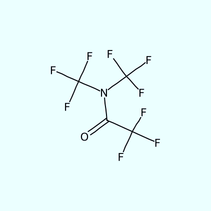 O=C(N(C(F)(F)F)C(F)(F)F)C(F)(F)F